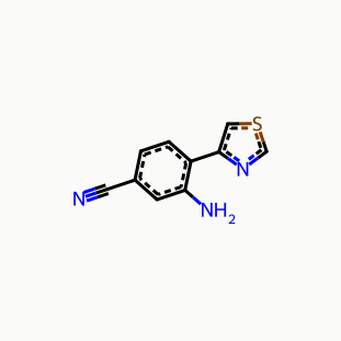 N#Cc1ccc(-c2cscn2)c(N)c1